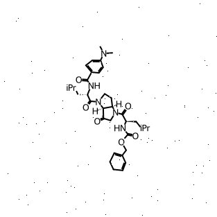 CC(C)C[C@H](NC(=O)c1ccc(N(C)C)cc1)C(=O)N1CC[C@@H]2[C@H]1C(=O)CN2C(=O)[C@@H](CC(C)C)NC(=O)OCC1=CCCC=C1